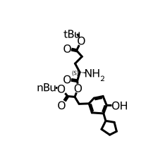 CCCCOC(=O)C(Cc1ccc(O)c(C2CCCC2)c1)OC(=O)[C@@H](N)CCC(=O)OC(C)(C)C